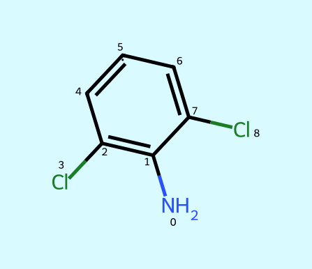 Nc1c(Cl)c[c]cc1Cl